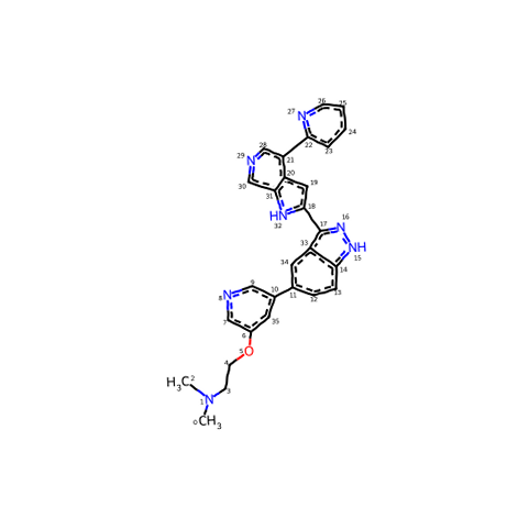 CN(C)CCOc1cncc(-c2ccc3[nH]nc(-c4cc5c(-c6ccccn6)cncc5[nH]4)c3c2)c1